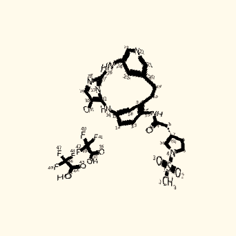 CS(=O)(=O)N1CC[C@@H](CC(=O)Nc2ccc3cc2CCc2cncc(c2)Nc2ncc(Cl)c(n2)N3)C1.O=C(O)C(F)(F)F.O=C(O)C(F)(F)F